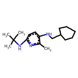 Cc1nc(NC(C)(C)C)ccc1NCC1CCCCC1